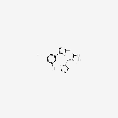 FC(F)(F)c1cc(-c2csc(Sc3nnnn3Cc3cccs3)n2)cc(C(F)(F)F)c1